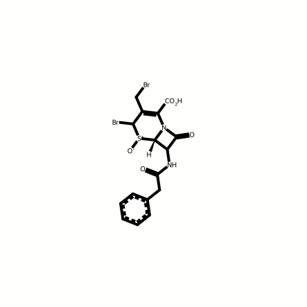 O=C(Cc1ccccc1)NC1C(=O)N2C(C(=O)O)=C(CBr)C(Br)[S+]([O-])[C@@H]12